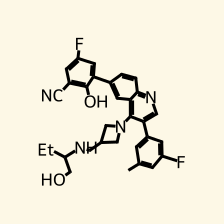 CCC(CO)NCC1CN(c2c(-c3cc(C)cc(F)c3)cnc3ccc(-c4cc(F)cc(C#N)c4O)cc23)C1